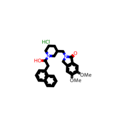 COc1cc2c(cc1OC)C(=O)N(CC1CCCN(C(O)Cc3cccc4ccccc34)C1)C2.Cl